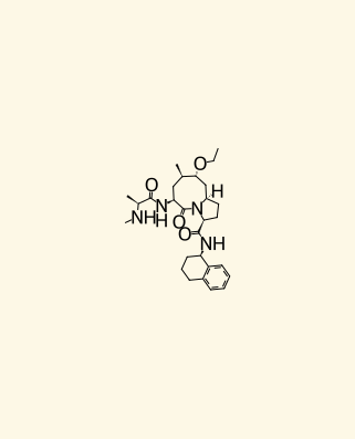 CCO[C@@H]1C[C@H]2CC[C@@H](C(=O)N[C@@H]3CCCc4ccccc43)N2C(=O)[C@@H](NC(=O)[C@H](C)NC)C[C@H]1C